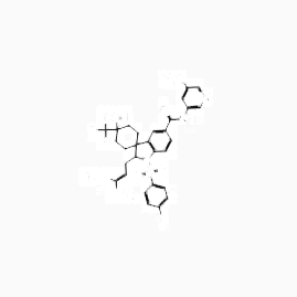 CC(C)=CCC1N(S(=O)(=O)c2ccc(F)cc2)c2ccc(C(=O)Nc3cncc(C)c3)cc2C12CCC(O)(C(F)(F)F)CC2